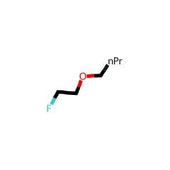 CCCCOCCF